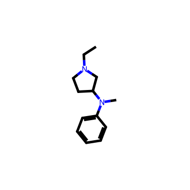 CCN1CCC(N(C)c2ccccc2)C1